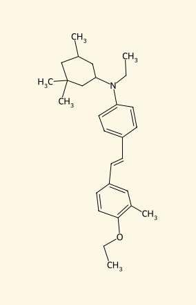 CCOc1ccc(C=Cc2ccc(N(CC)C3CC(C)CC(C)(C)C3)cc2)cc1C